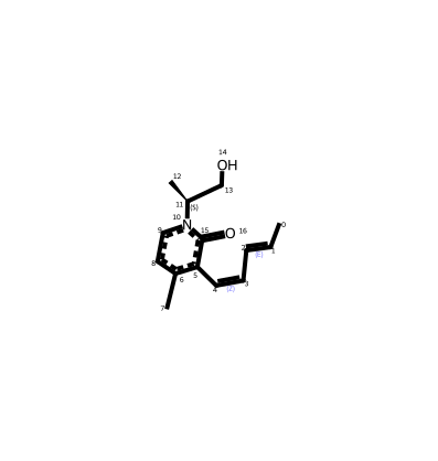 C/C=C/C=C\c1c(C)ccn([C@@H](C)CO)c1=O